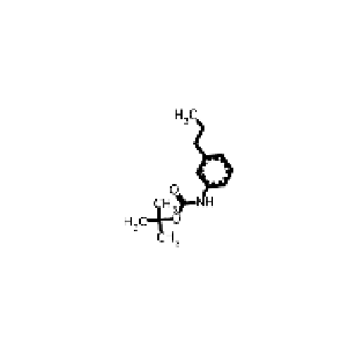 CCCc1cccc(NC(=O)OC(C)(C)C)c1